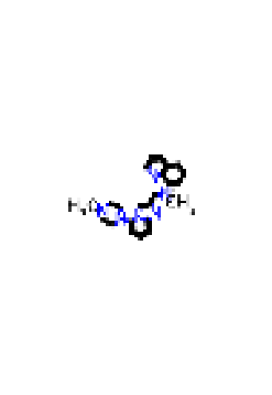 CN1CCN(c2cccc3nc(CN(C)[C@H]4CCCc5cccnc54)cn23)CC1